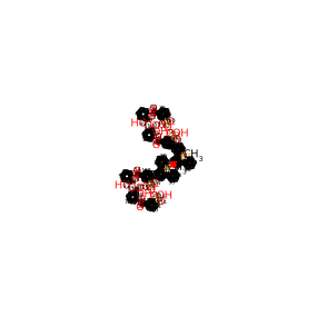 C[P+](c1ccccc1)(c1ccccc1)c1ccccc1.C[P+](c1ccccc1)(c1ccccc1)c1ccccc1.O=C(OC1CCCCC1(O)COC(=O)C1(O)CCCCC1OC(=O)c1cccc(S(=O)(=O)O)c1)c1cccc(S(=O)(=O)[O-])c1.O=C(OC1CCCCC1(O)COC(=O)C1(O)CCCCC1OC(=O)c1cccc(S(=O)(=O)O)c1)c1cccc(S(=O)(=O)[O-])c1